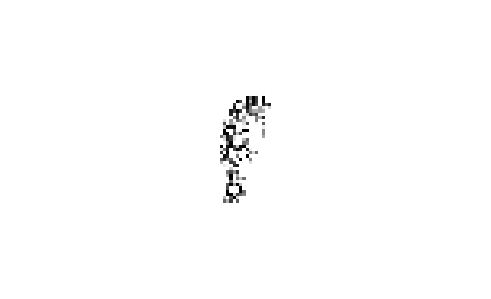 C[C@@H](O)[C@H](NC(=O)[C@H]1CCN(C(=O)[C@H]2CCCN2C(=O)OCc2ccccc2)C1)C(N)=O